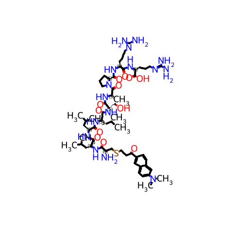 CC(C)C[C@H](NC(=O)[C@H](CC(C)C)NC(=O)[C@H](CC(C)C)NC(=O)[C@@H](N)CSCCC(=O)c1ccc2cc(N(C)C)ccc2c1)C(=O)N[C@@H](CO)C(=O)N[C@@H](C)C(=O)N1CCC[C@H]1C(=O)N[C@@H](CCCN=C(N)N)C(=O)N[C@@H](CCCN=C(N)N)C(=O)O